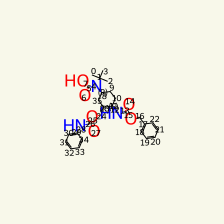 CC(C)(C)N(C(=O)O)[C@@H]1CC[C@H](NC(=O)OCc2ccccc2)[C@H](COC(=O)Nc2ccccc2)C1